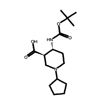 CC(C)(C)OC(=O)N[C@@H]1CCN(C2CCCC2)C[C@H]1C(=O)O